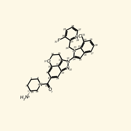 N[C@@H]1CCCN(C(=O)c2cc3c4c(n(-c5cc6cccc(Cl)c6n5Cc5ncccc5F)nc4c2)CCO3)C1